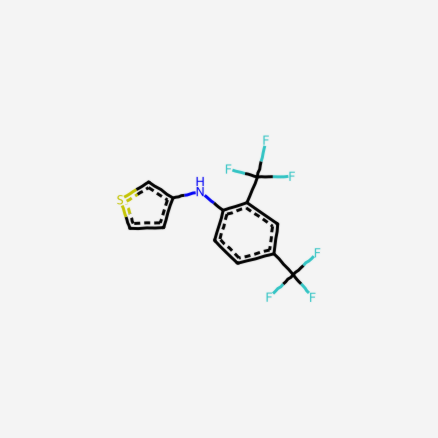 FC(F)(F)c1ccc(Nc2ccsc2)c(C(F)(F)F)c1